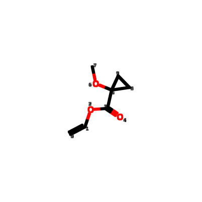 C=COC(=O)C1(OC)CC1